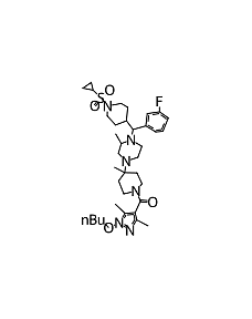 CCCCOn1nc(C)c(C(=O)N2CCC(C)(N3CCN(C(c4cccc(F)c4)C4CCN(S(=O)(=O)C5CC5)CC4)C(C)C3)CC2)c1C